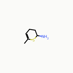 CC1=CCCC(N)S1